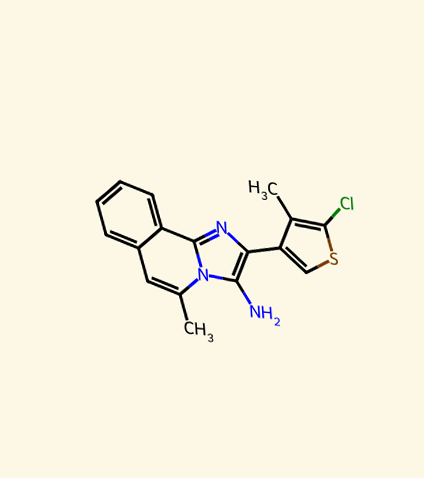 Cc1c(-c2nc3c4ccccc4cc(C)n3c2N)csc1Cl